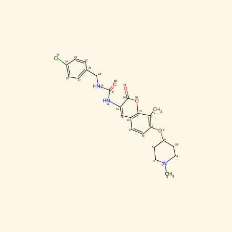 Cc1c(OC2CCN(C)CC2)ccc2cc(NC(=O)NCc3ccc(Cl)cc3)c(=O)oc12